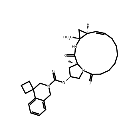 O=C1N[C@]2(C(=O)O)C[C@H]2/C=C\CCCCCCC(=O)N2C[C@H](OC(=O)N3Cc4ccccc4C4(CCC4)C3)C[C@@H]12